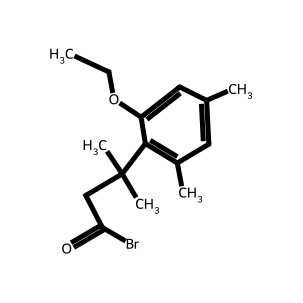 CCOc1cc(C)cc(C)c1C(C)(C)CC(=O)Br